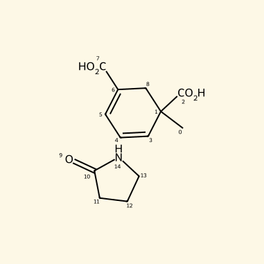 CC1(C(=O)O)C=CC=C(C(=O)O)C1.O=C1CCCN1